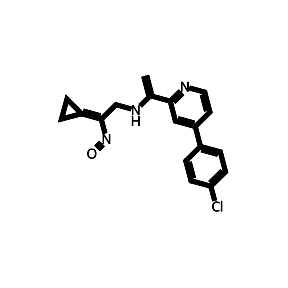 C=C(NCC(N=O)=C1CC1)c1cc(-c2ccc(Cl)cc2)ccn1